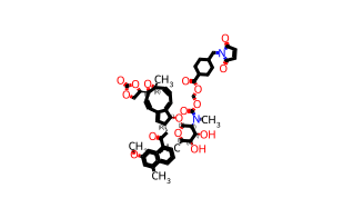 COc1cc(C)c2cccc(C(=O)C[C@@H]3C=C4C#C[C@]5(C6COC(=O)O6)O[C@]5(C)C#CC=C4[C@H]3O[C@H]3O[C@H](C)[C@H](O)[C@H](O)[C@H]3N(C)C(=O)OCOC(=O)C3CCC(CN4C(=O)C=CC4=O)CC3)c2c1